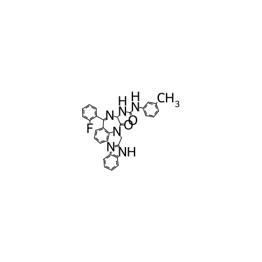 Cc1cccc(NC(=O)NC2N=C(c3ccccc3F)c3ccccc3N(Cc3nc4ccccc4[nH]3)C2=O)c1